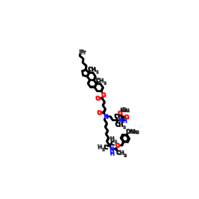 C=C(NC(C)(C)CCCCCCCN(CCC(C)(C)NC(=O)OC(C)(C)C)C(=O)CCCC(=O)OC1CCC2(C)C(=CCC3C2CCC2(C)C(CCCCC(C)C)CCC32)C1)OCc1ccc(OC)cc1